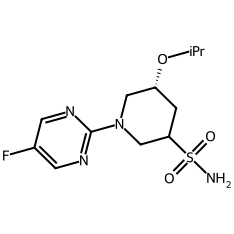 CC(C)O[C@@H]1CC(S(N)(=O)=O)CN(c2ncc(F)cn2)C1